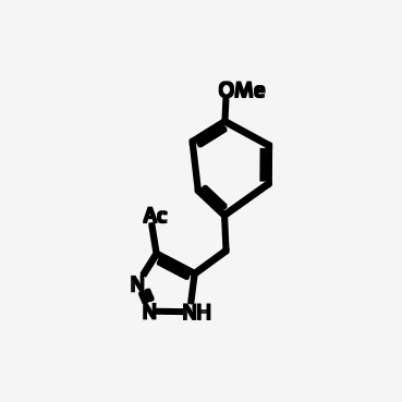 COc1ccc(Cc2[nH]nnc2C(C)=O)cc1